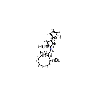 CCCCC1CCCCCCc2cc1c(/C=C1/N=C(c3ccc[nH]3)C=C1O)[nH]2